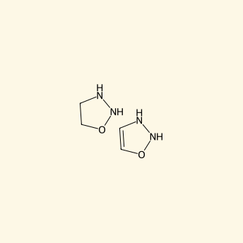 C1=CONN1.C1CONN1